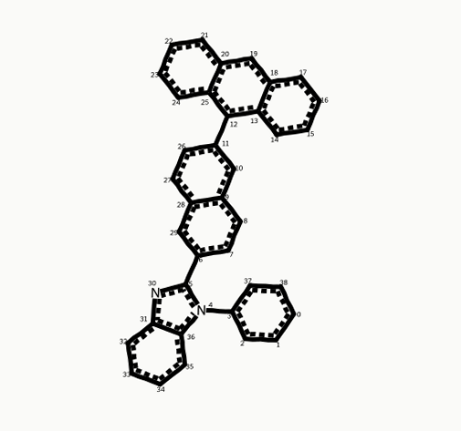 c1ccc(-n2c(-c3ccc4cc(-c5c6ccccc6cc6ccccc56)ccc4c3)nc3ccccc32)cc1